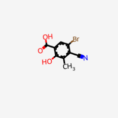 Cc1c(O)c(C(=O)O)cc(Br)c1C#N